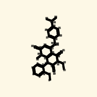 CCc1ccccc1-n1c(=O)n(CC)c(=O)c2c(Nc3ccc(N(C)C)cc3)cc(=O)n(C)c21